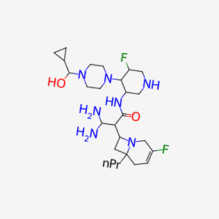 CCCC12CC=C(F)CN1C(C(C(=O)NC1CNCC(F)C1N1CCN(C(O)C3CC3)CC1)C(N)N)C2